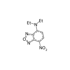 CCN(CC)c1ccc([N+](=O)[O-])c2nonc12